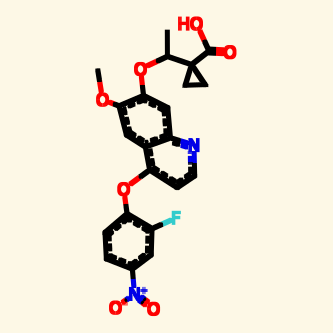 COc1cc2c(Oc3ccc([N+](=O)[O-])cc3F)ccnc2cc1OC(C)C1(C(=O)O)CC1